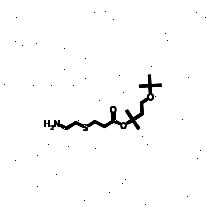 CC(C)(C)OCCC(C)(C)OC(=O)CCSCCN